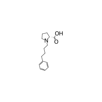 O=C(O)[C@H]1CCCN1CCCCc1ccccc1